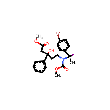 COC(=O)CC(O)(CCN(C(=O)OC)[C@@](C)(I)c1ccc(Br)cc1)c1ccccc1